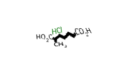 CC(CCCCC(=O)O)C(=O)O.Cl